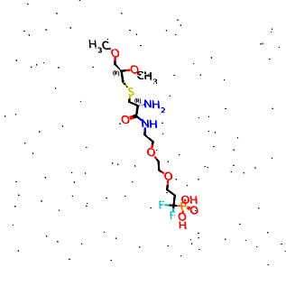 COC[C@H](CSC[C@H](N)C(=O)NCCOCCOCCC(F)(F)P(=O)(O)O)OC